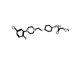 N#CCC(=O)N[C@H]1CC[C@H](CCN2CCN(c3cc(Cl)ccc3F)CC2)CC1